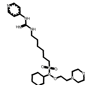 N=C(NCCCCCCS(=O)(=O)N(OCCN1CCOCC1)C1CCCCC1)Nc1ccncc1